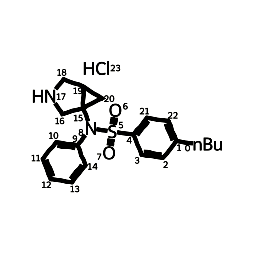 CCCCc1ccc(S(=O)(=O)N(c2ccccc2)C23CNCC2C3)cc1.Cl